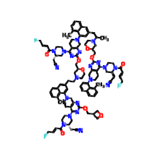 Cc1cccc2cc(CCN3CCOC(COc4nc5c(c(N6CCN(C(=O)/C=C/CF)[C@@H](CC#N)C6)n4)CCN(c4cc(CC(C)N6CCOC(COc7nc8c(c(N9CCN(C(=O)/C=C/CF)[C@@H](CC#N)C9)n7)CCN(c7cccc9cccc(C)c79)C8)C6)cc6cccc(C)c46)C5)C3)cc(N3CCc4c(nc(OCC5COC5)nc4N4CCN(C(=O)/C=C/CF)[C@@H](CC#N)C4)C3)c12